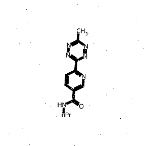 CCCNC(=O)c1ccc(-c2nnc(C)nn2)nc1